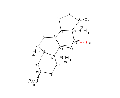 CCC1CCC2C3CC[C@@H]4C[C@H](OC(C)=O)CC[C@]4(C)C3=CC(=O)[C@]12C